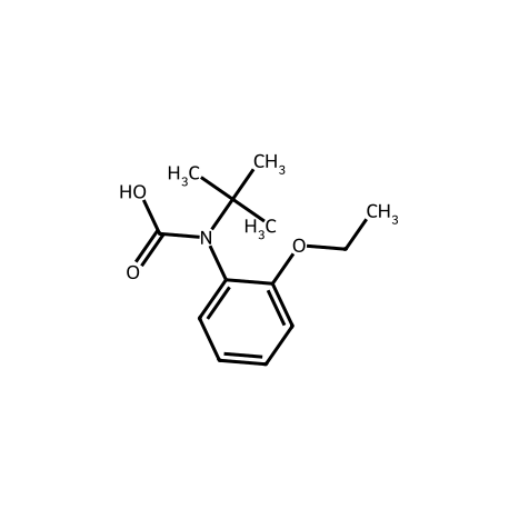 CCOc1ccccc1N(C(=O)O)C(C)(C)C